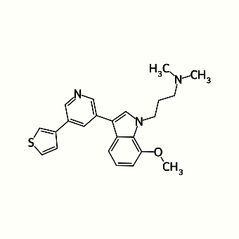 COc1cccc2c(-c3cncc(-c4ccsc4)c3)cn(CCCN(C)C)c12